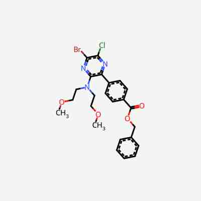 COCCN(CCOC)c1nc(Br)c(Cl)nc1-c1ccc(C(=O)OCc2ccccc2)cc1